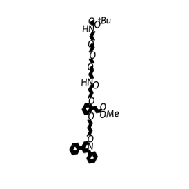 COC(=O)CCc1c(OCCCCCOc2cc(-c3ccccc3)cc(-c3ccccc3)n2)cccc1OCCCC(=O)NCCCOCCOCCOCCCNC(=O)OC(C)(C)C